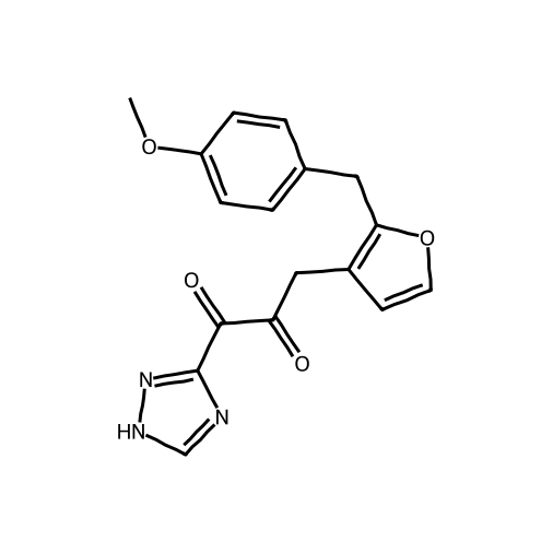 COc1ccc(Cc2occc2CC(=O)C(=O)c2nc[nH]n2)cc1